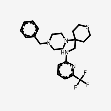 FC(F)(F)c1cccc(NCC2(N3CCN(Cc4ccccc4)CC3)CCSCC2)n1